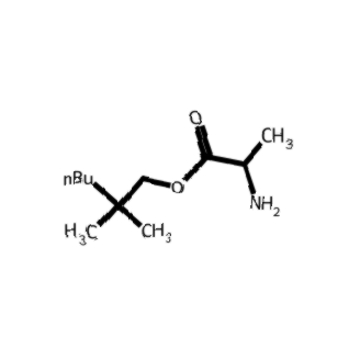 CCCCC(C)(C)COC(=O)C(C)N